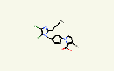 CCCCc1nc(Cl)c(Cl)n1Cc1ccc(-n2ccc(C)c2C(=O)O)cc1